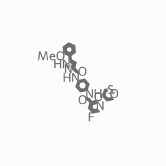 COc1ccccc1-c1cc(C(=O)NC2CCC(NC(=O)c3cc(F)cnc3OC3CCOSC3)CC2)n[nH]1